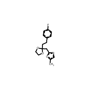 Cc1cnc(CC2(CCc3ccc(F)cc3)OCCO2)o1